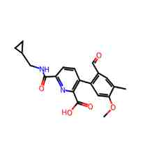 COc1cc(-c2ccc(C(=O)NCC3CC3)nc2C(=O)O)c(C=O)cc1C